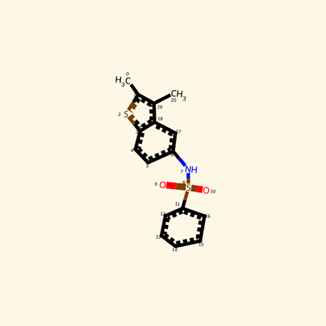 Cc1sc2ccc(NS(=O)(=O)c3ccccc3)cc2c1C